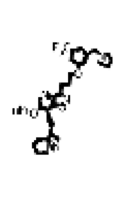 CCCOc1cnc2c(CCCOc3cc(CN4CCCC4)cc(C(F)(F)F)c3)noc2c1C#Cc1cnn2ccccc12